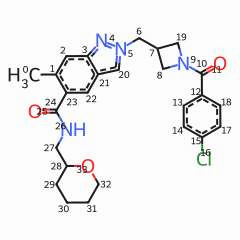 Cc1cc2nn(CC3CN(C(=O)c4ccc(Cl)cc4)C3)cc2cc1C(=O)NCC1CCCCO1